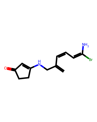 C=C(/C=C\C=C(/N)Br)CNC1=CC(=O)CC1